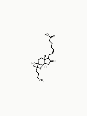 CCCCC(F)(F)C1(O)CC[C@@H]2C(C/C=C\CCCC(=O)O)C(=O)C[C@H]2O1